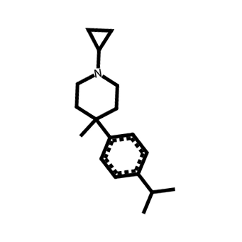 CC(C)c1ccc(C2(C)CCN(C3CC3)CC2)cc1